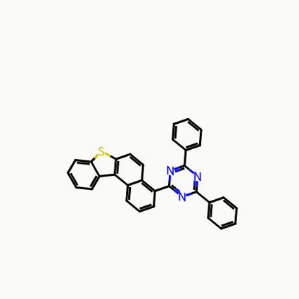 c1ccc(-c2nc(-c3ccccc3)nc(-c3cccc4c3ccc3sc5ccccc5c34)n2)cc1